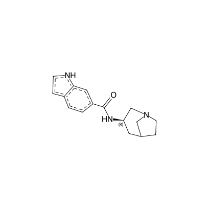 O=C(N[C@@H]1CC2CCN(C2)C1)c1ccc2cc[nH]c2c1